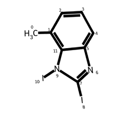 Cc1cccc2nc(I)n(I)c12